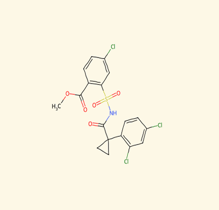 COC(=O)c1ccc(Cl)cc1S(=O)(=O)NC(=O)C1(c2ccc(Cl)cc2Cl)CC1